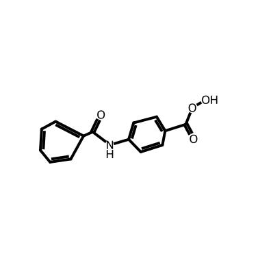 O=C(Nc1ccc(C(=O)OO)cc1)c1ccccc1